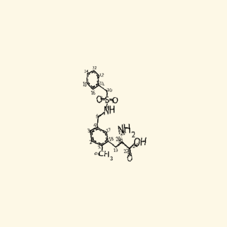 Cc1ccc(CNS(=O)(=O)Cc2ccccc2)cc1C[C@H](N)C(=O)O